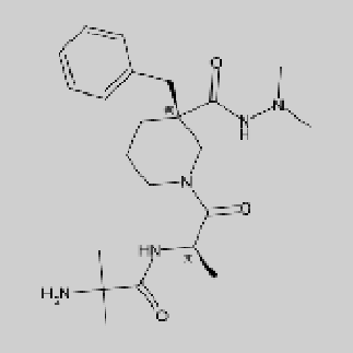 C[C@@H](NC(=O)C(C)(C)N)C(=O)N1CCC[C@](Cc2ccccc2)(C(=O)NN(C)C)C1